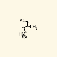 CC(=O)CC(C)CCNC(C)(C)C